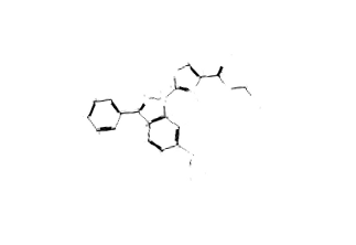 CCOC(=O)c1csc(-n2nc(-c3ccccc3)c3ccc(NC)cc32)n1